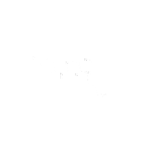 O=C(O)CCNc1nc(Nc2ccc(Cl)cc2)ncc1[N+](=O)[O-]